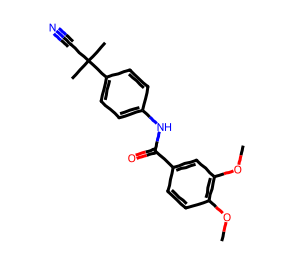 COc1ccc(C(=O)Nc2ccc(C(C)(C)C#N)cc2)cc1OC